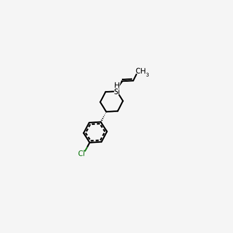 CC=C[Si@H]1CC[C@H](c2ccc(Cl)cc2)CC1